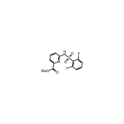 COC(=O)c1cccc(NS(=O)(=O)c2c(F)cccc2F)n1